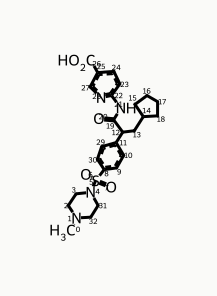 CN1CCN(S(=O)(=O)c2ccc(C(CC3CCCC3)C(=O)Nc3ccc(C(=O)O)cn3)cc2)CC1